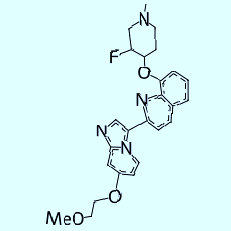 COCCOc1ccn2c(-c3ccc4cccc(OC5CCN(C)CC5F)c4n3)cnc2c1